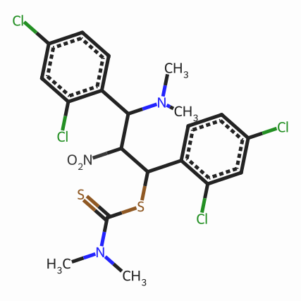 CN(C)C(=S)SC(c1ccc(Cl)cc1Cl)C(C(c1ccc(Cl)cc1Cl)N(C)C)[N+](=O)[O-]